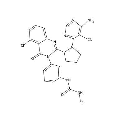 CCNC(=O)Nc1cccc(-n2c(C3CCCN3c3ncnc(N)c3C#N)nc3cccc(Cl)c3c2=O)c1